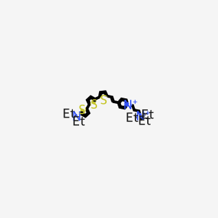 CCN(CC)c1ccc(-c2ccc(-c3ccc(/C=C/c4cc[n+](CCC[N+](CC)(CC)CC)cc4)s3)s2)s1